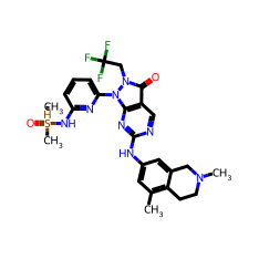 Cc1cc(Nc2ncc3c(=O)n(CC(F)(F)F)n(-c4cccc(N[SH](C)(C)=O)n4)c3n2)cc2c1CCN(C)C2